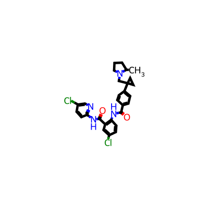 CC1CCCN1CC1(c2ccc(C(=O)Nc3ccc(Cl)cc3C(=O)Nc3ccc(Cl)cn3)cc2)CC1